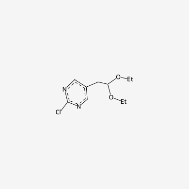 CCOC(Cc1cnc(Cl)nc1)OCC